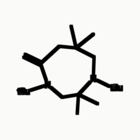 C=C1CC(C)(C)CN(C(C)(C)C)C(C)(C)CN1C(C)(C)C